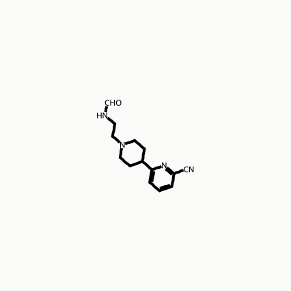 N#Cc1cccc(C2CCN(CCNC=O)CC2)n1